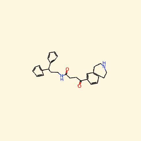 O=C(CCC(=O)c1ccc2c(c1)CCNCC2)NCCC(c1ccccc1)c1ccccc1